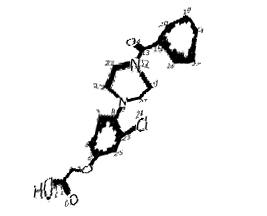 O=C(O)COc1ccc(N2CCN(C(=O)c3ccccc3)CC2)c(Cl)c1